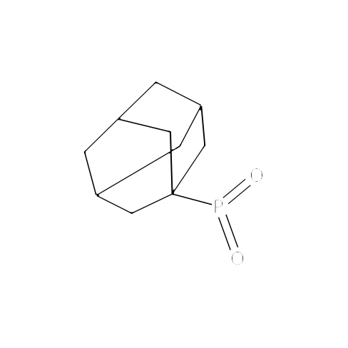 O=P(=O)C12CC3CC(CC(C3)C1)C2